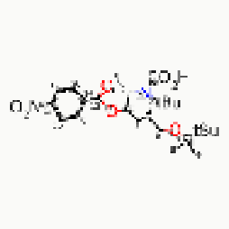 C[C@@H](C(CCCO[Si](C)(C)C(C)(C)C)OC(=O)c1ccc([N+](=O)[O-])cc1)N(C(=O)O)C(C)(C)C